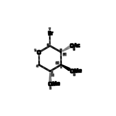 CO[C@H]1[C@H](OC)COC(Br)[C@@H]1OC(C)=O